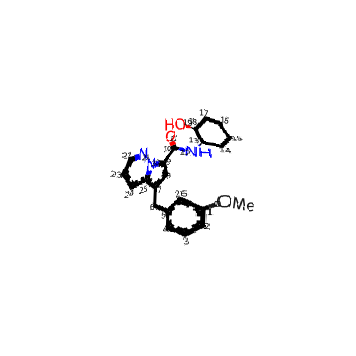 COc1cccc(Cc2cc(C(=O)N[C@H]3CCCC[C@@H]3O)n3ncccc23)c1